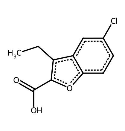 CCc1c(C(=O)O)oc2ccc(Cl)cc12